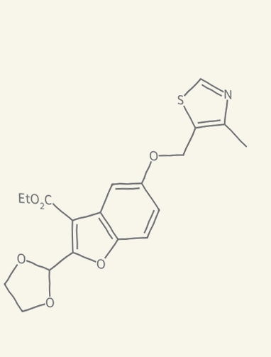 CCOC(=O)c1c(C2OCCO2)oc2ccc(OCc3scnc3C)cc12